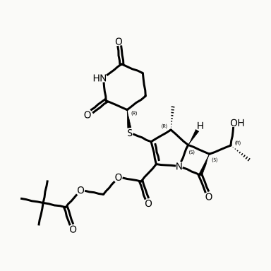 C[C@@H](O)[C@H]1C(=O)N2C(C(=O)OCOC(=O)C(C)(C)C)=C(S[C@@H]3CCC(=O)NC3=O)[C@H](C)[C@H]12